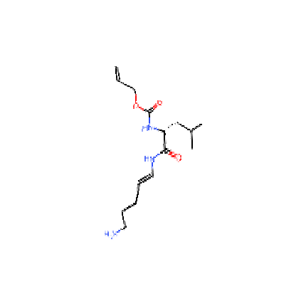 C=CCOC(=O)N[C@H](CC(C)C)C(=O)N/C=C/CCCN